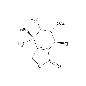 CCCC[C@]1(C)C2=C(C(=O)OC2)[C@H](Cl)[C@@H](OC(C)=O)C1C